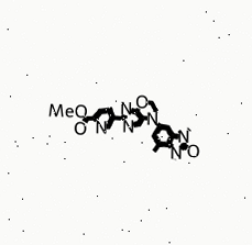 COC(=O)c1ccc(-c2ncc3c(n2)OCCN3c2cc(C)c3c(c2)n(C)c(=O)n3C)cn1